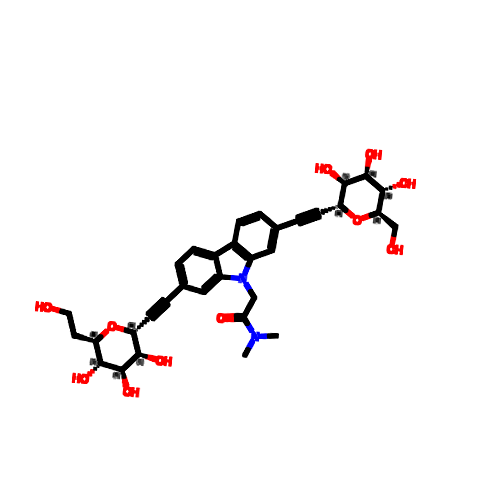 CN(C)C(=O)Cn1c2cc(C#C[C@H]3O[C@H](CO)[C@@H](O)[C@H](O)[C@@H]3O)ccc2c2ccc(C#C[C@H]3O[C@H](CCO)[C@@H](O)[C@H](O)[C@@H]3O)cc21